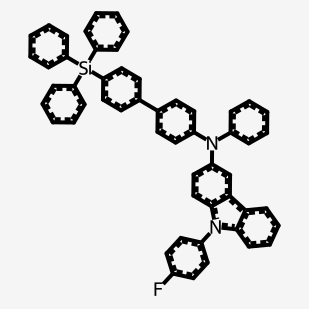 Fc1ccc(-n2c3ccccc3c3cc(N(c4ccccc4)c4ccc(-c5ccc([Si](c6ccccc6)(c6ccccc6)c6ccccc6)cc5)cc4)ccc32)cc1